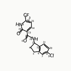 O=C(NC1CCc2cc(Cl)ccc21)c1ccc(C(F)(F)F)[nH]c1=O